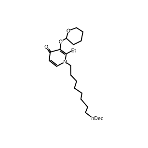 CCCCCCCCCCCCCCCCCCn1ccc(=O)c(OC2CCCCO2)c1CC